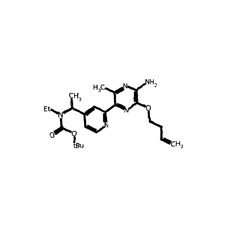 C=CCCOc1nc(-c2cc(C(C)N(CC)C(=O)OC(C)(C)C)ccn2)c(C)nc1N